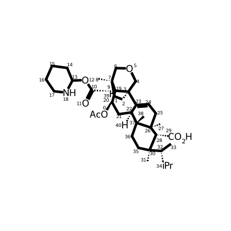 CC(=O)O[C@@H]1C[C@@]23COC[C@](C)([C@H]1C(=O)OC1CCCCN1)[C@H]2CC[C@H]1C3=CC[C@@]2(C)[C@H](C(=O)O)[C@@](C)([C@H](C)C(C)C)CC[C@]12C